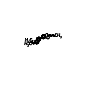 CCCCCC(=O)Oc1ccc(-c2ccc3c(c2)CCC(CC(C)CC)C3)cc1